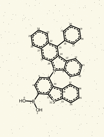 OB(O)c1ccc(-n2c3ccccc3c3c(-c4ccccc4)c4ccccc4cc32)c2c1sc1ccccc12